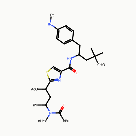 CCCCCCN(C(=O)CCCC)C(CC(OC(C)=O)c1nc(C(=O)NC(Cc2ccc(NCC)cc2)CC(C)(C)C=O)cs1)C(C)C